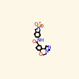 CS(=O)(=O)N1Cc2ccc(NC(=O)c3ccc4c(c3)-c3cncn3CCO4)cc2C1